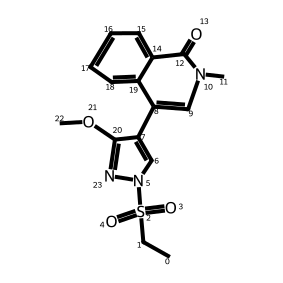 CCS(=O)(=O)n1cc(-c2cn(C)c(=O)c3ccccc23)c(OC)n1